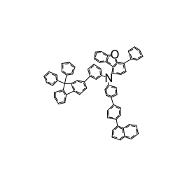 c1ccc(-c2ccc(N(c3ccc(-c4ccc(-c5cccc6ccccc56)cc4)cc3)c3cccc(-c4ccc5c(c4)C(c4ccccc4)(c4ccccc4)c4ccccc4-5)c3)c3c2oc2ccccc23)cc1